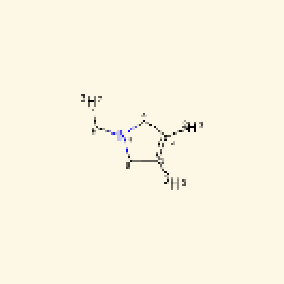 [2H]C1=C([2H])CN(C[3H])C1